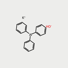 [K+].[OH-].c1cc[c]([Al]([c]2ccccc2)[c]2ccccc2)cc1